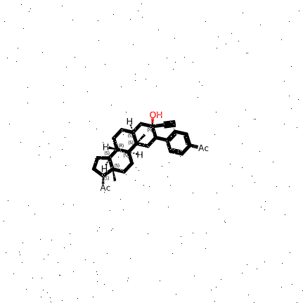 C#C[C@@]1(O)C[C@@H]2CC[C@@H]3[C@H](CC[C@]4(C)[C@@H](C(C)=O)CC[C@@H]34)[C@@]2(C)CC1c1ccc(C(C)=O)cc1